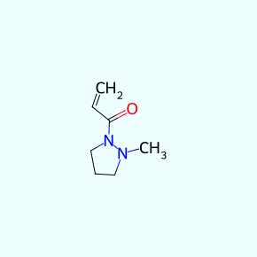 C=CC(=O)N1CCCN1C